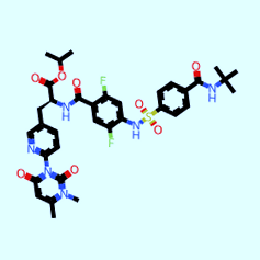 Cc1cc(=O)n(-c2ccc(C[C@H](NC(=O)c3cc(F)c(NS(=O)(=O)c4ccc(C(=O)NC(C)(C)C)cc4)cc3F)C(=O)OC(C)C)cn2)c(=O)n1C